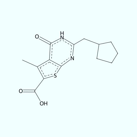 Cc1c(C(=O)O)sc2nc(CC3CCCC3)[nH]c(=O)c12